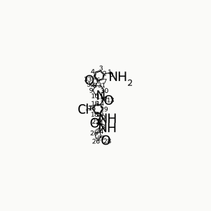 NCc1ccc2c(c1)C1(CCN(C(=O)c3cc(Cl)cc(NC(=O)NC4CCC4=O)c3)CC1)CO2